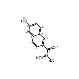 CCN(O)C(=O)c1ccc2nc(O)ccc2c1